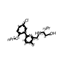 CCCOc1ccc(Cl)cc1-c1ccc(F)c(CN[C@@H](CO)C(C)C)n1